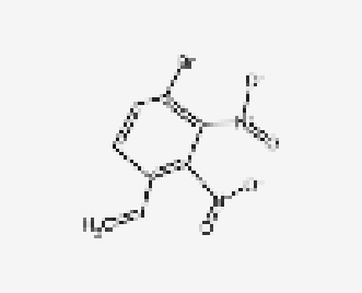 C=Cc1ccc(Br)c([N+](=O)[O-])c1[N+](=O)[O-]